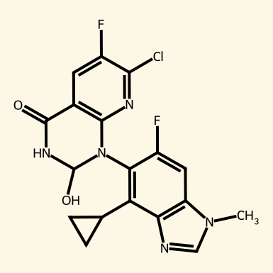 Cn1cnc2c(C3CC3)c(N3c4nc(Cl)c(F)cc4C(=O)NC3O)c(F)cc21